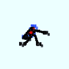 CCCCCCCCCCN(CC(N)=O)C(=O)CN(CCCCCCCCCC)C(=O)CN(CCCCCCCCCC)C(=O)CN(CCCCCCCCCC)C(=O)CN(C=O)CCNC